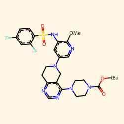 COc1ncc(N2CCc3ncnc(N4CCN(C(=O)OC(C)(C)C)CC4)c3C2)cc1NS(=O)(=O)c1ccc(F)cc1F